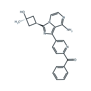 C[C@]1(O)C[C@@H](c2nc(-c3ccc(C(=O)c4ccccc4)nc3)c3c(N)nccn32)C1